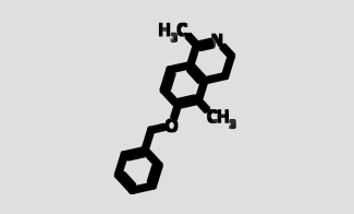 CC1=NCCc2c1ccc(OCc1ccccc1)c2C